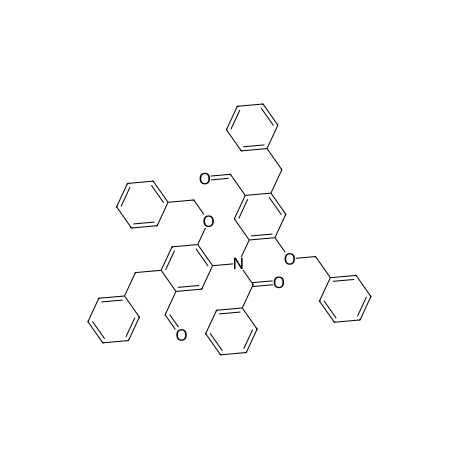 O=Cc1cc(N(C(=O)c2ccccc2)c2cc(C=O)c(Cc3ccccc3)cc2OCc2ccccc2)c(OCc2ccccc2)cc1Cc1ccccc1